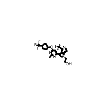 Cc1nc(OC2CCC(C(F)(F)F)CC2)cc(-c2cn(CCO)c3ccnc(C(F)(F)F)c23)n1